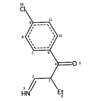 CCC(C=N)C(=O)c1ccc(Cl)cc1